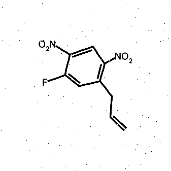 C=CCc1cc(F)c([N+](=O)[O-])cc1[N+](=O)[O-]